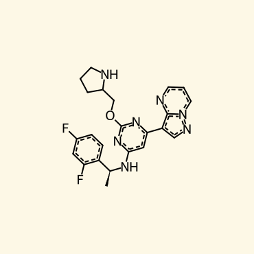 C[C@H](Nc1cc(-c2cnn3cccnc23)nc(OCC2CCCN2)n1)c1ccc(F)cc1F